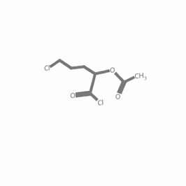 CC(=O)OC(CCCCl)C(=O)Cl